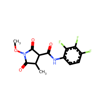 CON1C(=O)C(C)C(C(=O)Nc2ccc(F)c(F)c2F)C1=O